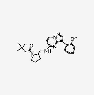 COc1ccccc1-c1cnn2ccc(NCC3CCCN3C(=O)CC(C)(C)C)nc12